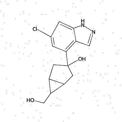 OCC1C2CC(O)(c3cc(Cl)cc4[nH]ncc34)CC12